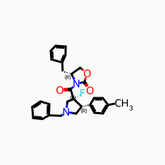 Cc1ccc([C@@H]2CN(Cc3ccccc3)C[C@@]2(F)C(=O)N2C(=O)OC[C@H]2Cc2ccccc2)cc1